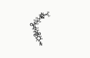 N#Cc1ccc(S(=O)(=O)N2CC3(CN(C(=O)N4CC5(CC(n6cnc(C7CC7)n6)C5)C4)C3)C2)cc1